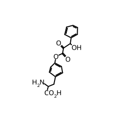 NC(Cc1ccc(OC(=O)C(=O)C(O)c2ccccc2)cc1)C(=O)O